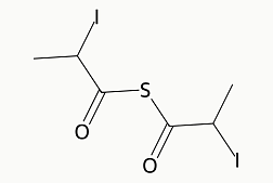 CC(I)C(=O)SC(=O)C(C)I